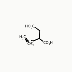 C=C.CC(CC(=O)O)C(=O)O